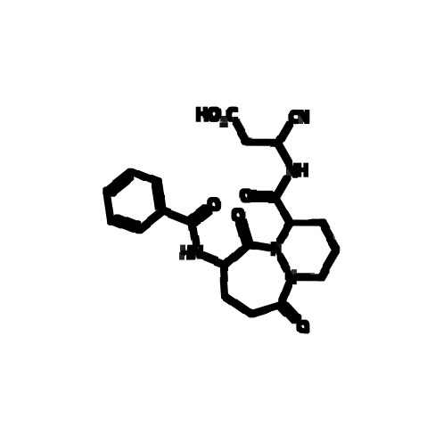 N#CC(CC(=O)O)NC(=O)C1CCCN2C(=O)CCC(NC(=O)c3ccccc3)C(=O)N12